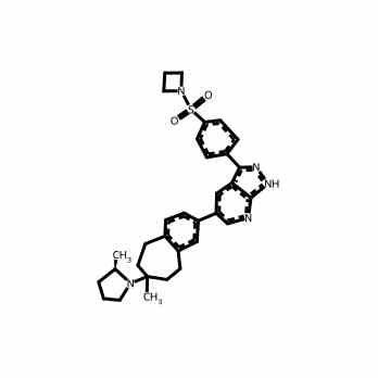 C[C@@H]1CCCN1C1(C)CCc2ccc(-c3cnc4[nH]nc(-c5ccc(S(=O)(=O)N6CCC6)cc5)c4c3)cc2CC1